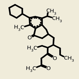 CCCC(CC1CC(=O)c2c(C)c(C3CCCCC3)cc(C(C)C)c2C1)C(CC)C(=O)CC(C)=O